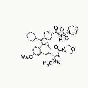 COc1ccc2c(c1)C=C(c1c(C(=O)N3CCOCC3)cnn1C)Cn1c-2c(C2CCCCC2)c2ccc(C(=O)NS(=O)(=O)N3CCOCC3)cc21